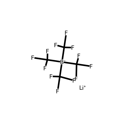 FC(F)(F)[B-](C(F)(F)F)(C(F)(F)F)C(F)(F)F.[Li+]